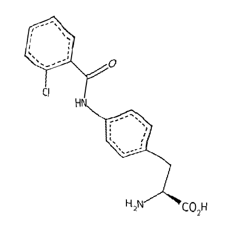 N[C@@H](Cc1ccc(NC(=O)c2ccccc2Cl)cc1)C(=O)O